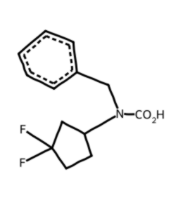 O=C(O)N(Cc1ccccc1)C1CCC(F)(F)C1